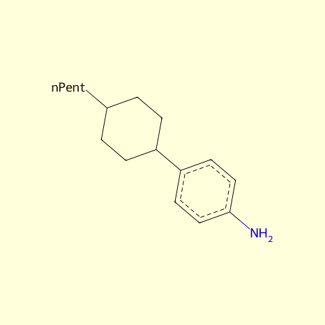 CCCCCC1CCC(c2ccc(N)cc2)CC1